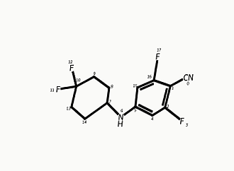 N#Cc1c(F)cc(NC2CCC(F)(F)CC2)cc1F